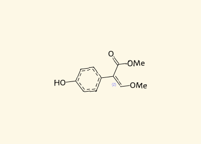 CO/C=C(\C(=O)OC)c1ccc(O)cc1